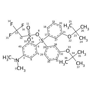 CN(C)c1ccc(S(OS(=O)(=O)CC(F)(F)F)(c2cccc(OC(C)(C)C)c2)c2cccc(OC(C)(C)C)c2)cc1